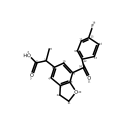 CC(C(=O)O)c1cc2c(c(C(=O)c3ccc(F)cc3)c1)OCC2